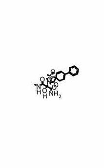 CNC(=O)C(O)(C(N)=O)N(C)C(=O)C1(S(C)(=O)=O)C=CC(c2ccccc2)=CC1